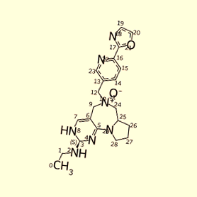 CCN[C@@H]1N=C2C(=CN1)C[N+]([O-])(Cc1ccc(-c3ncco3)nc1)CC1CCCN21